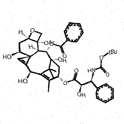 CC(=O)O[C@@]12CO[C@@H]1C[C@H](O)[C@@]13C=C1[C@H](O)C1=C(C)[C@@H](OC(=O)[C@H](O)[C@@H](NC(=O)OC(C)(C)C)c4ccccc4)C[C@](O)([C@@H](OC(=O)c4ccccc4)[C@H]23)C1(C)C